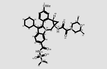 COc1ccc2c(c1)[C@@H]1C[C@]1(NC(=O)C(=O)N1C[C@@H](C)O[C@@H](C)C1)Cn1c-2c(C2CCCCC2)c2ccc(C(=O)NS(=O)(=O)N(C)C)cc21